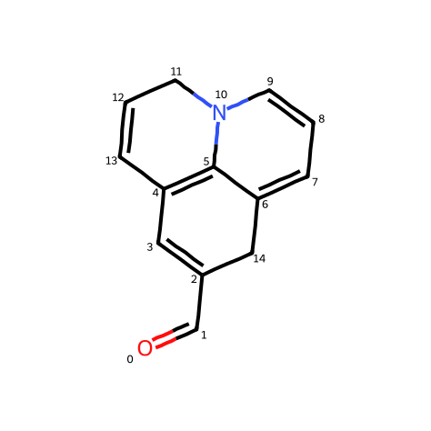 O=CC1=CC2=C3C(=CC=CN3CC=C2)C1